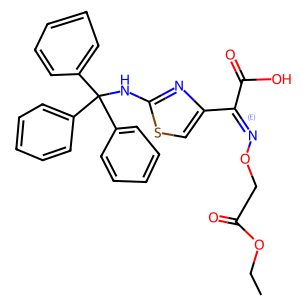 CCOC(=O)CO/N=C(/C(=O)O)c1csc(NC(c2ccccc2)(c2ccccc2)c2ccccc2)n1